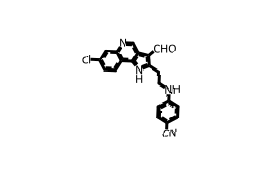 N#Cc1ccc(NCCc2[nH]c3c(cnc4cc(Cl)ccc43)c2C=O)cc1